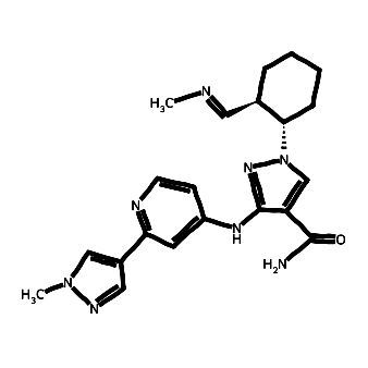 CN=C[C@H]1CCCC[C@@H]1n1cc(C(N)=O)c(Nc2ccnc(-c3cnn(C)c3)c2)n1